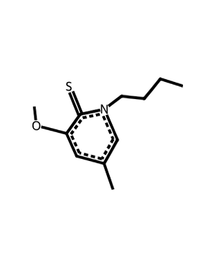 CCCCn1cc(C)cc(OC)c1=S